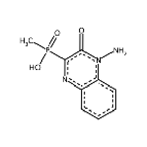 CP(=O)(O)c1nc2ccccc2n(N)c1=O